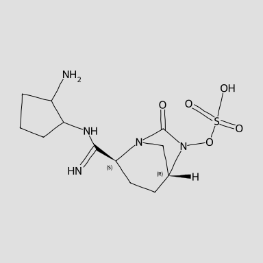 N=C(NC1CCCC1N)[C@@H]1CC[C@@H]2CN1C(=O)N2OS(=O)(=O)O